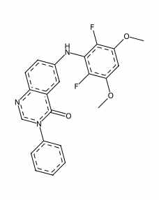 COc1cc(OC)c(F)c(Nc2ccc3ncn(-c4ccccc4)c(=O)c3c2)c1F